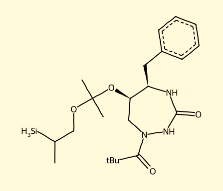 CC([SiH3])COC(C)(C)O[C@@H]1CN(C(=O)C(C)(C)C)NC(=O)N[C@@H]1Cc1ccccc1